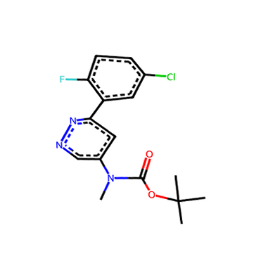 CN(C(=O)OC(C)(C)C)c1cnnc(-c2cc(Cl)ccc2F)c1